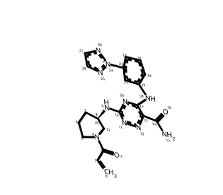 C=CC(=O)N1CCC[C@@H](Nc2nnc(C(N)=O)c(Nc3cccc(-n4nccn4)c3)n2)C1